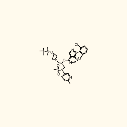 Cc1cnc(N(C[C@@H](CN2CC(O[Si](C)(C)C(C)(C)C)C2)Oc2ncnc3c2cnn3-c2c(Cl)cccc2Cl)S(C)(=O)=O)cn1